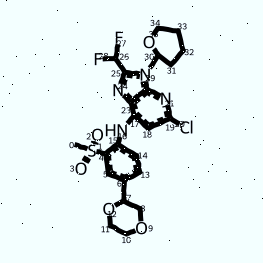 CS(=O)(=O)c1cc(C2COCCO2)ccc1Nc1cc(Cl)nc2c1nc(C(F)F)n2C1CCCCO1